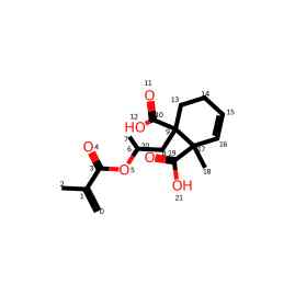 C=C(C)C(=O)OC(C)CC1(C(=O)O)CCC=CC1(C)C(=O)O